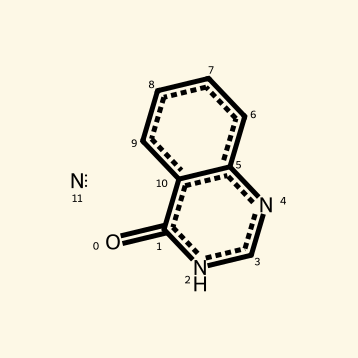 O=c1[nH]cnc2ccccc12.[N]